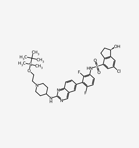 CC(C)(C)[Si](C)(C)OCCN1CCC(Nc2ncc3cc(-c4c(F)ccc(NS(=O)(=O)c5cc(Cl)cc6c5CC[C@H]6O)c4F)ccc3n2)CC1